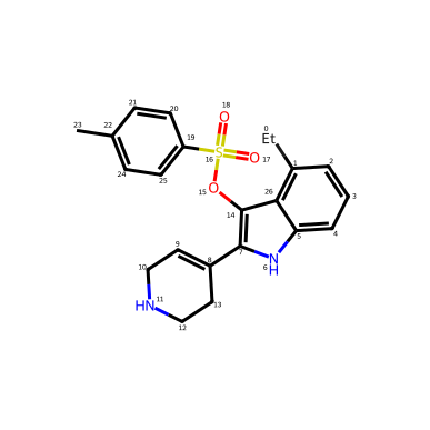 CCc1cccc2[nH]c(C3=CCNCC3)c(OS(=O)(=O)c3ccc(C)cc3)c12